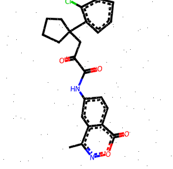 Cc1noc(=O)c2ccc(NC(=O)C(=O)CC3(c4ccccc4Cl)CCCC3)cc12